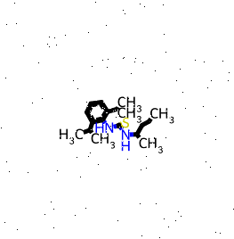 CCCC(C)NC(=S)Nc1c(C(C)C)cccc1C(C)C